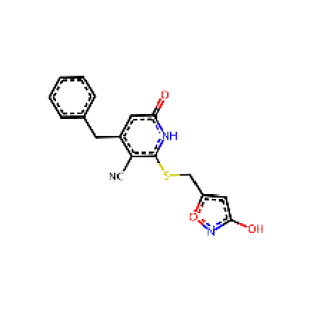 N#Cc1c(Cc2ccccc2)cc(=O)[nH]c1SCc1cc(O)no1